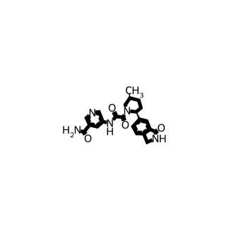 C[C@@H]1CC[C@@H](c2ccc3c(c2)C(=O)NC3)N(C(=O)C(=O)Nc2cncc(C(N)=O)c2)C1